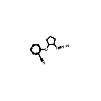 N#Cc1ccccc1OC1CCCC1N=[N+]=[N-]